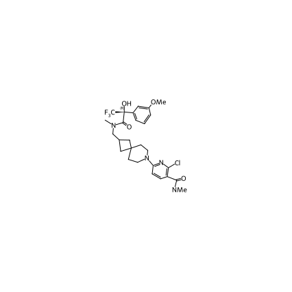 CNC(=O)c1ccc(N2CCC3(CC2)CC(CN(C)C(=O)[C@](O)(c2cccc(OC)c2)C(F)(F)F)C3)nc1Cl